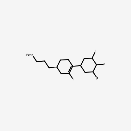 CCCC(C)CCC[C@H]1CCC(C2CC(F)C(F)C(F)C2)=C(F)C1